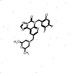 CC1CN(Cc2cnc3c(c2)c2ncnn2c(=O)n3Cc2cc(F)c(F)cc2Cl)CC(C)O1